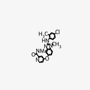 CNC(=O)c1cc(Oc2ccc3c(c2)nc(Nc2ccc(Cl)cc2C)n3C)ccn1